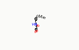 COc1ccc(CCNC(=O)/C=C/c2ccc3c(c2)OCO3)cc1